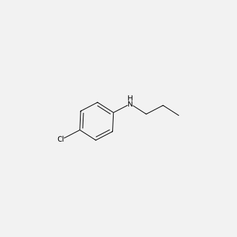 CCCNc1ccc(Cl)cc1